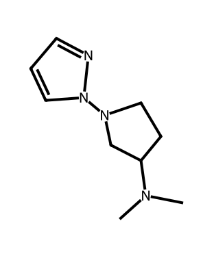 CN(C)C1CCN(n2cccn2)C1